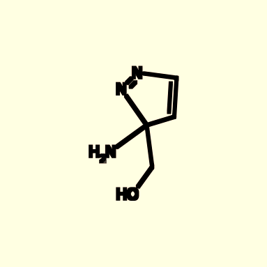 NC1(CO)C=CN=N1